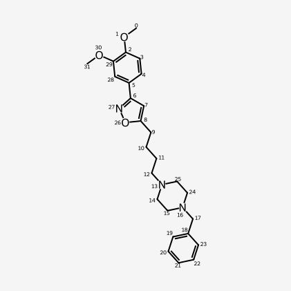 COc1ccc(-c2cc(CCCCN3CCN(Cc4ccccc4)CC3)on2)cc1OC